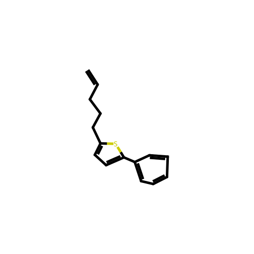 C=CCCCc1ccc(-c2ccccc2)s1